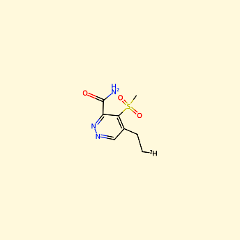 [2H]CCc1cnnc(C(N)=O)c1S(C)(=O)=O